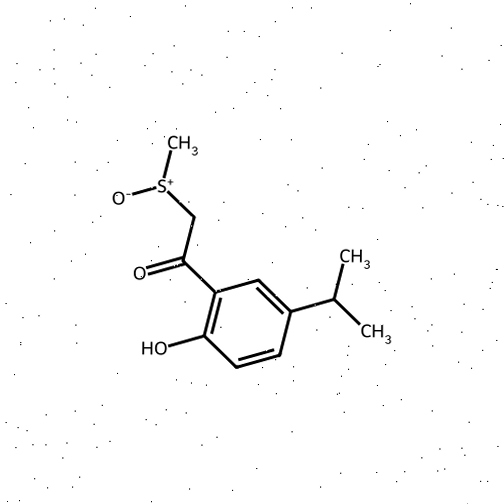 CC(C)c1ccc(O)c(C(=O)C[S+](C)[O-])c1